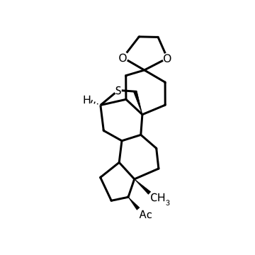 CC(=O)[C@H]1CCC2C3C[C@H]4SC[C@@]5(CCC6(CC45)OCCO6)C3CC[C@@]21C